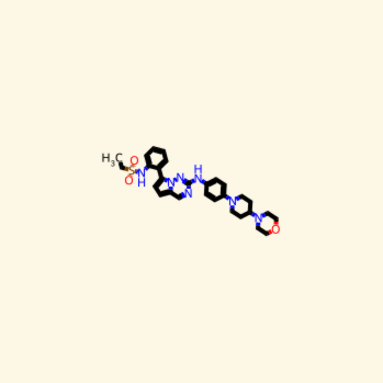 CCS(=O)(=O)Nc1ccccc1-c1ccc2cnc(Nc3ccc(N4CCC(N5CCOCC5)CC4)cc3)nn12